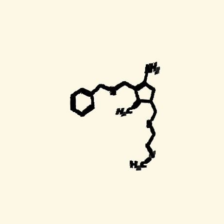 C=NCCSCC1CC(N)=C(CSCc2ccccc2)C1=C